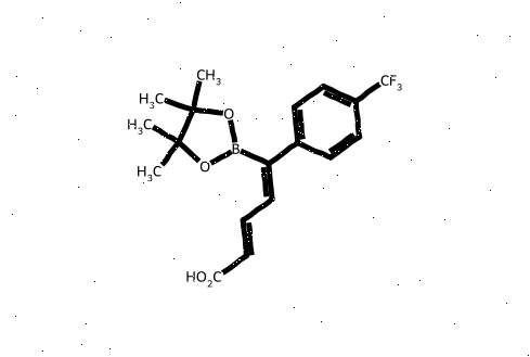 CC1(C)OB(C(=CC=CC(=O)O)c2ccc(C(F)(F)F)cc2)OC1(C)C